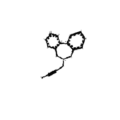 CC#CCN1Cc2ccccc2-c2ccccc2C1